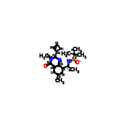 CC(=N[S@+]([O-])C(C)(C)C)c1cc(C)cc2c(=O)n(C)c(C34CC(C3)C4)nc12